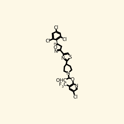 O=CC(Oc1ncc(Cl)cc1C(F)(F)F)N1CCC(c2nc(C3=NO[C@@H](c4c(Cl)cc(Cl)cc4Cl)C3)cs2)CC1